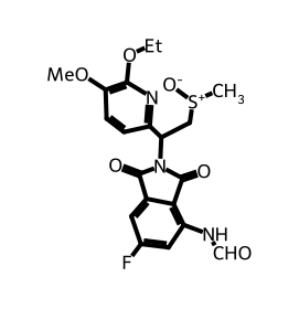 CCOc1nc(C(C[S+](C)[O-])N2C(=O)c3cc(F)cc(NC=O)c3C2=O)ccc1OC